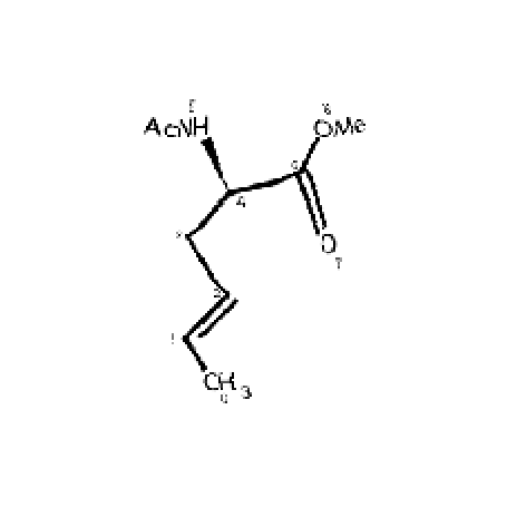 C/C=C/C[C@@H](NC(C)=O)C(=O)OC